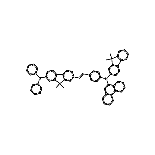 CC1(C)c2cc(/C=C/c3ccc(N(c4ccc5c(c4)C(C)(C)c4ccccc4-5)c4cc5ccccc5c5ccccc45)cc3)ccc2-c2ccc(N(c3ccccc3)c3ccccc3)cc21